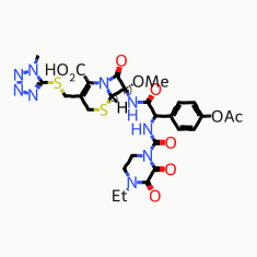 CCN1CCN(C(=O)NC(C(=O)N[C@]2(OC)C(=O)N3C(C(=O)O)=C(CSc4nnnn4C)CS[C@H]32)c2ccc(OC(C)=O)cc2)C(=O)C1=O